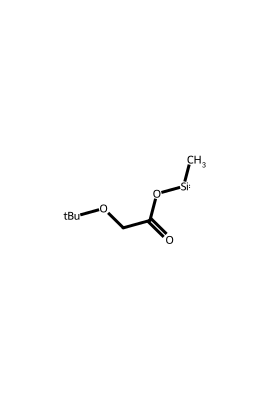 C[Si]OC(=O)COC(C)(C)C